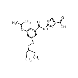 CCC(CC)COc1cc(OC(C)C)cc(C(=O)Nc2ncc(C(=O)O)s2)c1